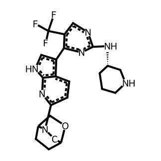 FC(F)(F)c1cnc(N[C@H]2CCCNC2)nc1-c1c[nH]c2nc(N3CC4CCC3CO4)ccc12